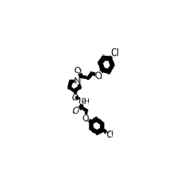 O=C(COc1ccc(Cl)cc1)NOC1CCN(C(=O)CCOc2ccc(Cl)cc2)C1